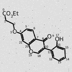 CCOC(=O)CCOc1ccc2c(=O)c(-c3ccccc3O)coc2c1